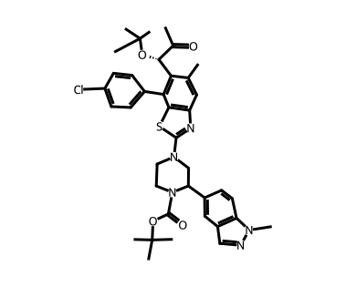 CC(=O)[C@@H](OC(C)(C)C)c1c(C)cc2nc(N3CCN(C(=O)OC(C)(C)C)C(c4ccc5c(cnn5C)c4)C3)sc2c1-c1ccc(Cl)cc1